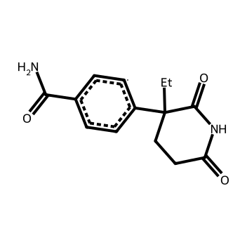 CCC1(c2[c]cc(C(N)=O)cc2)CCC(=O)NC1=O